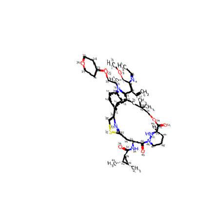 C=C/C(=C(\N=C/C)[C@H](C)OC)c1c2c3cc(ccc3n1CCOC1CCOCC1)C1CSC(=N1)C[C@H](NC(=O)[C@H]1[C@H](C)[C@@H]1C)C(=O)N1CCC[C@H](N1)C(=O)OCC(C)(C)C2